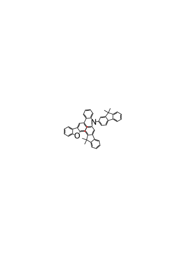 CC1(C)c2ccccc2-c2cc(N(c3ccc4c(c3)C(C)(C)c3ccccc3-4)c3ccccc3-c3ccc4oc5ccccc5c4c3)ccc21